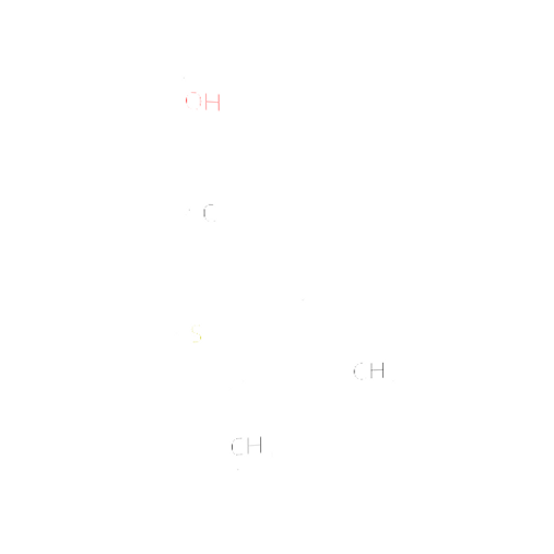 Cc1cc(CCO)sc1C